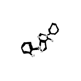 O=c1c2cnn(-c3ccccc3Cl)c2ncn1C1CCCCC1